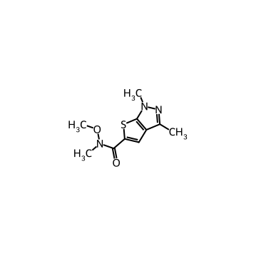 CON(C)C(=O)c1cc2c(C)nn(C)c2s1